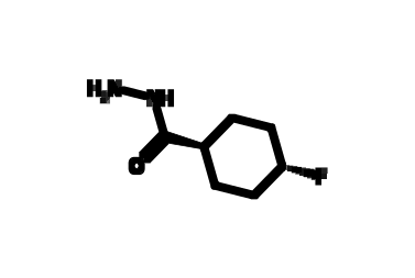 NNC(=O)[C@H]1CC[C@H](F)CC1